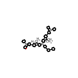 CC1(C)c2cc(-c3ccc4c(c3)c3ccccc3n4-c3ccccc3)ccc2-c2ccc(N(c3ccc(-c4cccc(-c5ccccc5)c4)cc3)c3ccc4c(c3)C(C)(C)c3cc(-c5ccc6c(c5)c5ccccc5n6-c5ccccc5)ccc3-4)cc21